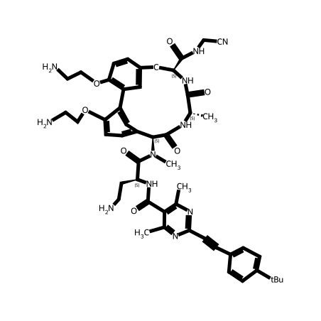 Cc1nc(C#Cc2ccc(C(C)(C)C)cc2)nc(C)c1C(=O)N[C@@H](CCN)C(=O)N(C)[C@@H]1C(=O)N[C@@H](C)C(=O)N[C@H](C(=O)NCC#N)Cc2ccc(OCCN)c(c2)-c2cc1ccc2OCCN